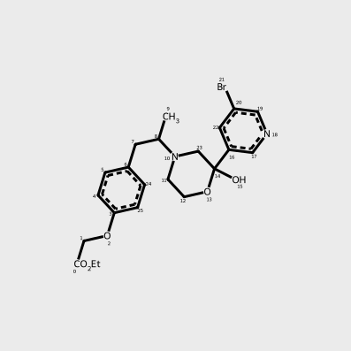 CCOC(=O)COc1ccc(CC(C)N2CCOC(O)(c3cncc(Br)c3)C2)cc1